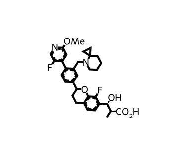 COc1cc(-c2ccc(C3CCc4ccc([C@H](O)[C@H](C)C(=O)O)c(F)c4O3)cc2CN2CCCCC23CC3)c(F)cn1